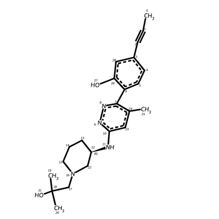 CC#Cc1ccc(-c2nnc(N[C@@H]3CCCN(CC(C)(C)O)C3)cc2C)c(O)c1